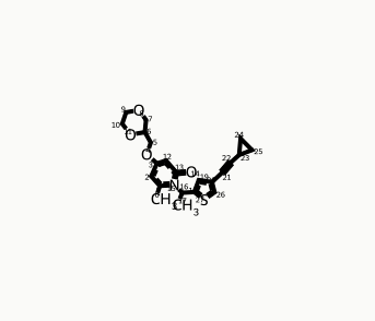 Cc1cc(OCC2COCCO2)cc(=O)n1C(C)c1cc(C#CC2CC2)cs1